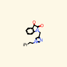 CC(C)CCn1cnc(CN2C(=O)C(=O)c3ccccc32)c1